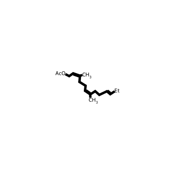 CCC=CCC/C(C)=C\CC/C(C)=C\COC(C)=O